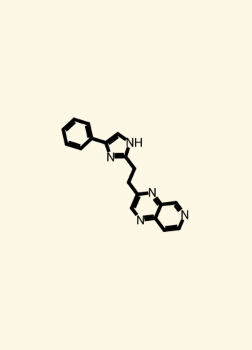 c1ccc(-c2c[nH]c(CCc3cnc4ccncc4n3)n2)cc1